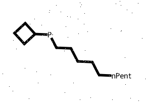 CCCCCCCCCC[P]C1CCC1